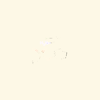 CC(N)=O.CCCCCCl.O=S(=O)(Oc1ccccc1)C(F)(F)F